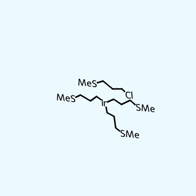 CSCCCCl.CSCC[CH2][Ir]([CH2]CCSC)[CH2]CCSC